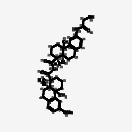 COc1ccc2c(c1)[C@@]1(C)CCC[C@](C)(C(=O)NC(=O)[C@@]3(C)CCC[C@]4(C)c5cc(NC(=O)CO)ccc5CC[C@@H]34)[C@@H]1CC2